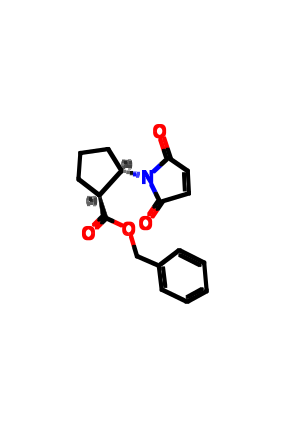 O=C(OCc1ccccc1)[C@H]1CCC[C@@H]1N1C(=O)C=CC1=O